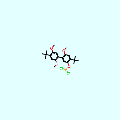 COc1cc(C(C)(C)C)c(OC)cc1-c1cc(OP(Cl)Cl)c(C(C)(C)C)cc1OC